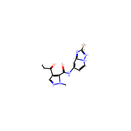 CCC(=O)c1cnn(C)c1C(=O)Nc1ccn2nc(Br)nc2c1